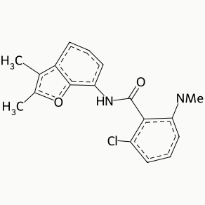 CNc1cccc(Cl)c1C(=O)Nc1cccc2c(C)c(C)oc12